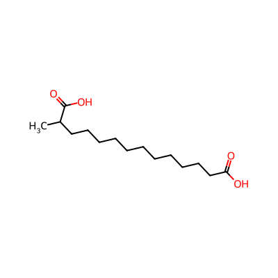 CC(CCCCCCCCCCCC(=O)O)C(=O)O